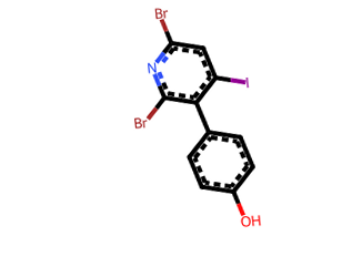 Oc1ccc(-c2c(I)cc(Br)nc2Br)cc1